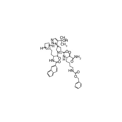 CC(C)(O)c1cnnn1[C@H]1C[C@@H](C(=O)NC(CCCCNC(=O)OCc2ccccc2)C(=O)C(N)=O)N(C(=O)C(CCC2C[C@@H]3CC[C@H]2C3)NC(=O)c2ccc3ccccc3c2)C1